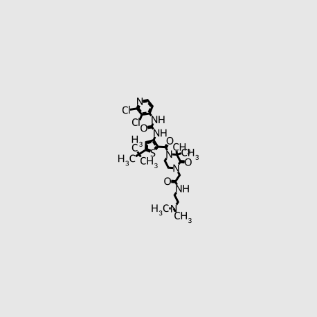 CN(C)CCNC(=O)CN1CCN(C(=O)c2sc(C(C)(C)C)cc2NC(=O)Nc2ccnc(Cl)c2Cl)C(C)(C)C1=O